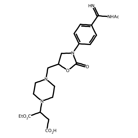 CCOC(=O)C(CC(=O)O)N1CCN(CC2CN(c3ccc(C(=N)NC(C)=O)cc3)C(=O)O2)CC1